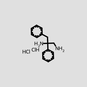 Cl.Cl.NCC(N)(Cc1ccccc1)c1ccccc1